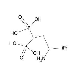 CC(C)C(N)CC(P(=O)(O)O)P(=O)(O)O